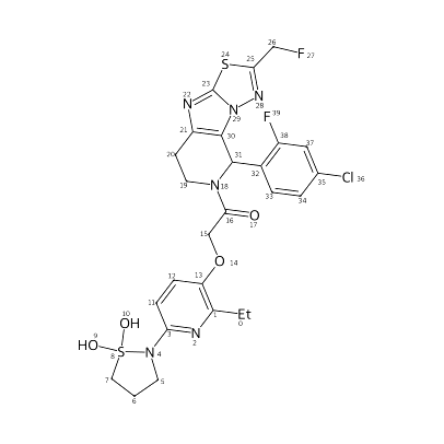 CCc1nc(N2CCCS2(O)O)ccc1OCC(=O)N1CCc2nc3sc(CF)nn3c2C1c1ccc(Cl)cc1F